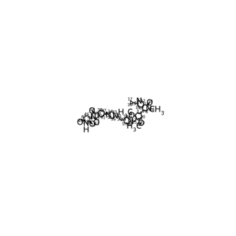 COc1cc(-c2cn(C)c(=O)c3cnc(C4CC4)cc23)cc(OC)c1CN1CCC(CCN2CCN(c3ccc4c(c3)C(=O)N(C3CCC(=O)NC3=O)C4=O)CC2)CC1